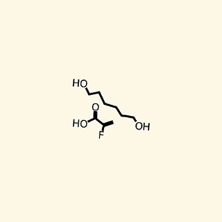 C=C(F)C(=O)O.OCCCCCCO